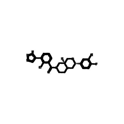 O=C(c1cccc(-c2cnn[nH]2)c1Cl)N1CCN2C[C@@H](c3ccc(F)c(Cl)c3)OC[C@@H]2C1